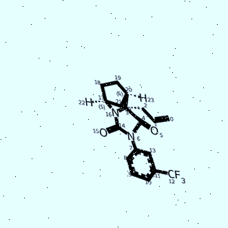 C=CC[C@]12C(=O)N(c3cccc(C(F)(F)F)c3)C(=O)N1[C@H]1CC[C@@H]2C1